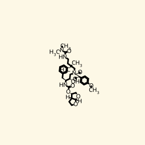 COc1ccc(S(=O)(=O)N(C[C@H](O)[C@H](Cc2ccccc2)NC(=O)O[C@@H]2CO[C@@H]3OCC[C@@H]32)CC(C)(C)CCNC(=O)N(C)C)cc1